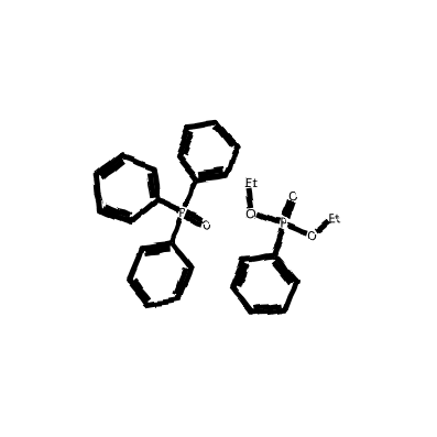 CCOP(=O)(OCC)c1ccccc1.O=P(c1ccccc1)(c1ccccc1)c1ccccc1